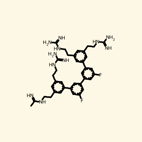 CC(=N)NCCc1cc(CCNC(=N)N)cc(-c2cc(F)cc(-c3cc(F)cc(-c4cc(CCNC(=N)N)cc(CCNC(=N)N)c4)c3)c2)c1